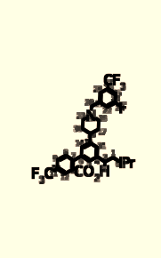 CC(C)CC(C(=O)O)c1cc(-c2ccc(C(F)(F)F)cc2)cc(C2CCN(Cc3cc(F)cc(C(F)(F)F)c3)CC2)c1